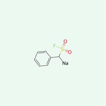 O=S(=O)(F)[CH]([Na])c1ccccc1